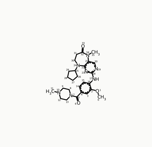 COc1cc(C(=O)N2CCN(C)CC2)ccc1Nc1ncc2c(n1)N(C1CCCC1)CCC(=O)N2C